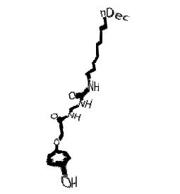 CCCCCCCCCCCCCCCCCCNC(=O)NCNC(=O)COc1ccc(O)cc1